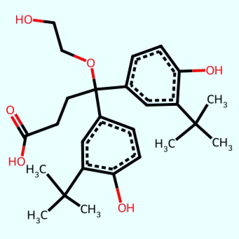 CC(C)(C)c1cc(C(CCC(=O)O)(OCCO)c2ccc(O)c(C(C)(C)C)c2)ccc1O